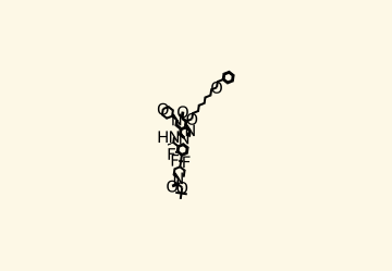 C[C@@H](Nc1ncnc2c(OCCCCCCCOCc3ccccc3)c(=O)n(C3CCOCC3)cc12)c1cccc(C(F)(F)C2CCN(C(=O)OC(C)(C)C)CC2)c1F